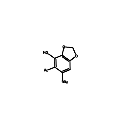 CCCCc1cc2c(c(O)c1C(C)=O)OCO2